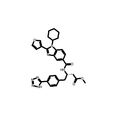 COC(=O)C[C@H](Cc1ccc(-c2nnn[nH]2)cc1)NC(=O)c1ccc2c(c1)nc(-c1ccoc1)n2C1CCCCC1